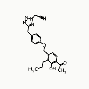 CCCc1c(COc2ccc(Cc3nnn(CC#N)n3)cc2)ccc(C(C)=O)c1O